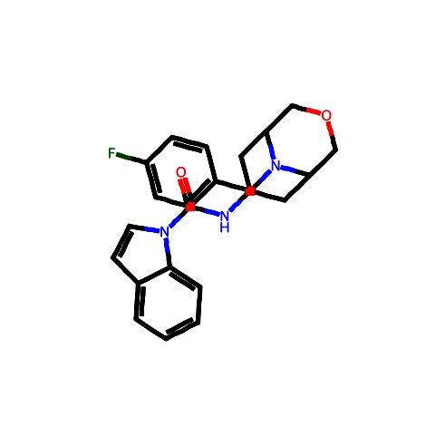 O=C(NC1CC2COCC(C1)N2Cc1ccc(F)cc1)n1ccc2ccccc21